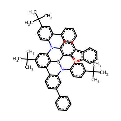 CC(C)(C)c1ccc(N2B3c4c(cc(C(C)(C)C)cc4N(c4ccc(C(C)(C)C)cc4-c4ccccc4)c4ccc5c(oc6ccccc65)c43)-c3ccc(-c4ccccc4)cc32)cc1